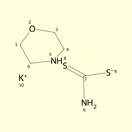 C1COCCN1.NC(=S)[S-].[K+]